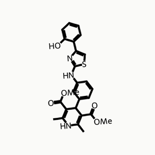 COC(=O)C1=C(C)NC(C)=C(C(=O)OC)C1c1cccc(Nc2nc(-c3ccccc3O)cs2)c1